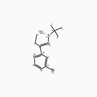 CC/C(=N\[S@+]([O-])C(C)(C)C)c1cc(Br)ccn1